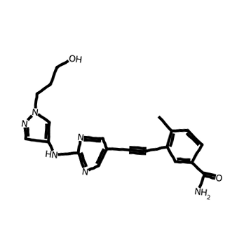 Cc1ccc(C(N)=O)cc1C#Cc1cnc(Nc2cnn(CCCO)c2)nc1